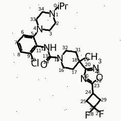 CC(C)N1CCN(c2cccc(Cl)c2NC(=O)N2CCC(C)(c3noc(C4CC(F)(F)C4)n3)CC2)CC1